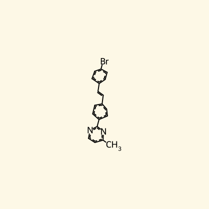 Cc1ccnc(-c2ccc(/C=C/c3ccc(Br)cc3)cc2)n1